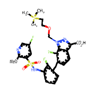 COc1ncc(F)cc1S(=O)(=O)Nc1cccc(-c2ccc3c(C(=O)O)nn(COCCS(C)(C)C)c3c2F)c1F